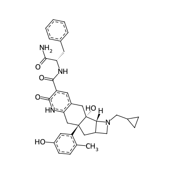 Cc1ccc(O)cc1[C@@]12Cc3[nH]c(=O)c(C(=O)N[C@@H](Cc4ccccc4)C(N)=O)cc3C[C@@]1(O)[C@H]1C(CN1CC1CC1)C2